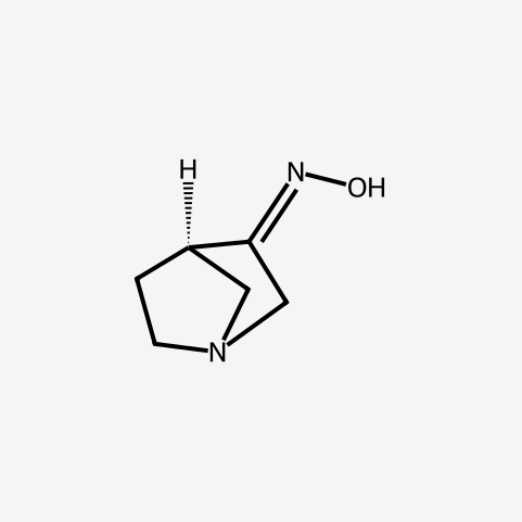 O/N=C1\CN2CC[C@@H]1C2